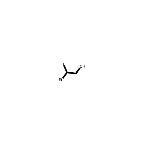 CCC(I)CO